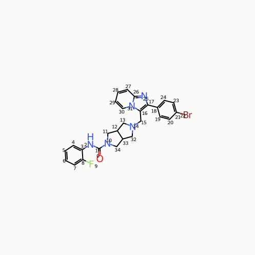 O=C(Nc1ccccc1F)N1CC2CN(Cc3c(-c4ccc(Br)cc4)nc4ccccn34)CC2C1